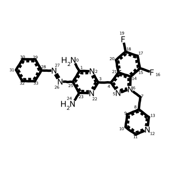 Nc1nc(-c2nn(Cc3cccnc3)c3c(F)cc(F)cc23)nc(N)c1N=Nc1ccccc1